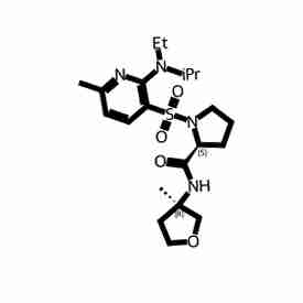 CCN(c1nc(C)ccc1S(=O)(=O)N1CCC[C@H]1C(=O)N[C@]1(C)CCOC1)C(C)C